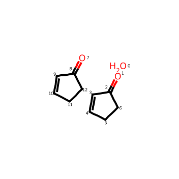 O.O=C1C=CCC1.O=C1C=CCC1